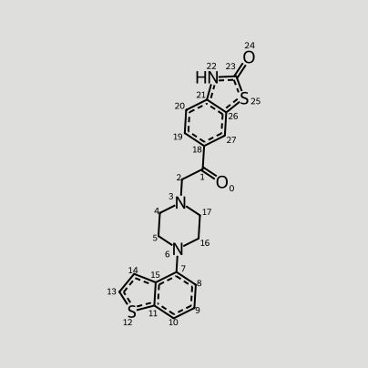 O=C(CN1CCN(c2cccc3sccc23)CC1)c1ccc2[nH]c(=O)sc2c1